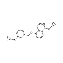 c1cc(COc2ccnc3c(OC4CC4)nccc23)cc(SC2CC2)c1